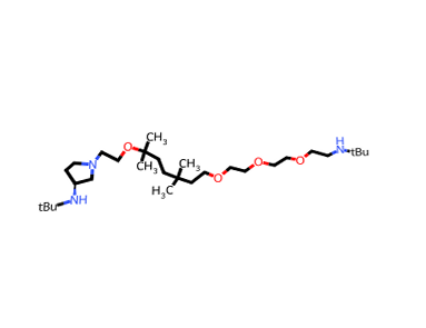 CC(C)(CCOCCOCCOCCNC(C)(C)C)CCC(C)(C)OCCN1CC[C@H](NC(C)(C)C)C1